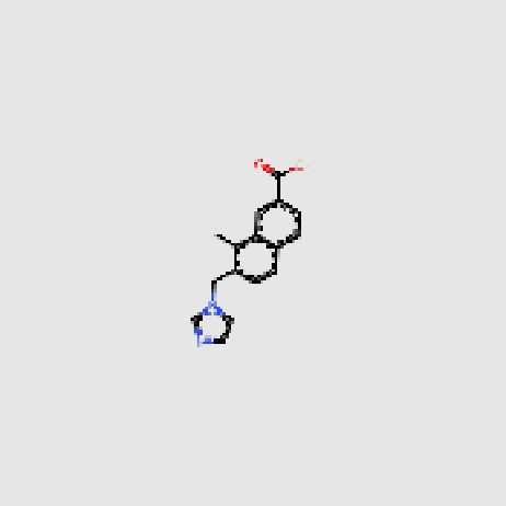 Cc1c(Cn2ccnc2)ccc2ccc(C(=O)O)cc12